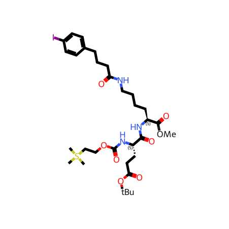 COC(=O)[C@H](CCCCNC(=O)CCCc1ccc(I)cc1)NC(=O)[C@H](CCC(=O)OC(C)(C)C)NC(=O)OCCS(C)(C)C